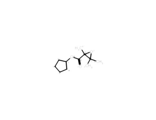 CC1(C)OC1(C)C(=O)OC1CCCC1